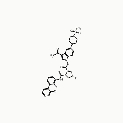 CC(=O)c1cn(OC(=O)N2C[C@H](F)C[C@H]2C(=O)Nc2cccc(-c3ccccc3Cl)c2F)c2ccc(N3CCN(S(C)(=O)=O)CC3)cc12